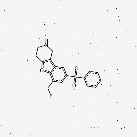 O=S(=O)(c1ccccc1)c1cc(CF)c2oc3c(c2c1)CNCC3